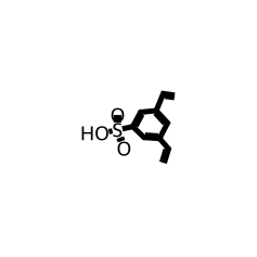 C=Cc1cc(C=C)cc(S(=O)(=O)O)c1